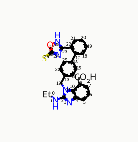 CCNc1nc2cccc(C(=O)O)c2n1Cc1ccc(-c2ccccc2-c2nc(=S)o[nH]2)cc1